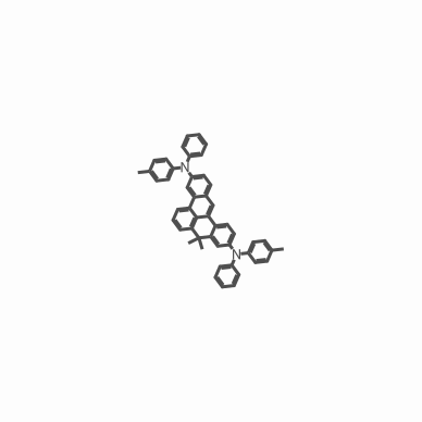 Cc1ccc(N(c2ccccc2)c2ccc3c(c2)C(C)(C)c2cccc4c2c-3cc2ccc(N(c3ccccc3)c3ccc(C)cc3)cc24)cc1